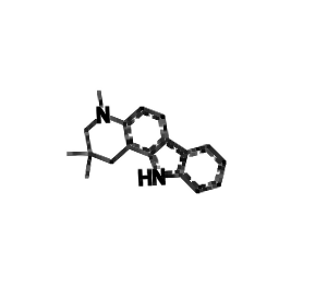 CN1CC(C)(C)Cc2c1ccc1c2[nH]c2ccccc21